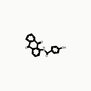 O=C(Nc1cccc2c1C(=O)c1ccccc1C2=O)c1ccc(O)cc1